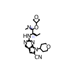 C/C=C(Nc1ncc2cc(C#N)n(C3CCOCC3)c2n1)\C(=N/C)OC1COC1